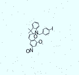 COc1cc(N=O)cc2c1OC1(C=C2)N(Cc2ccc(I)cc2)c2ccccc2C1(C)C